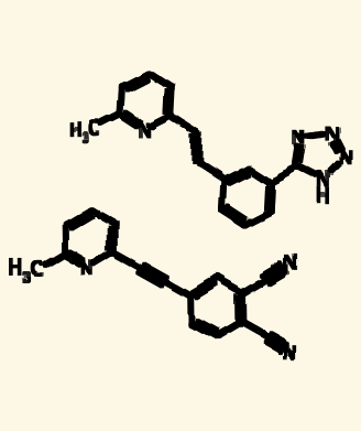 Cc1cccc(C#Cc2ccc(C#N)c(C#N)c2)n1.Cc1cccc(C=Cc2cccc(-c3nnn[nH]3)c2)n1